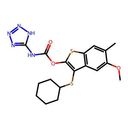 COc1cc2c(SC3CCCCC3)c(OC(=O)Nc3nnn[nH]3)sc2cc1C